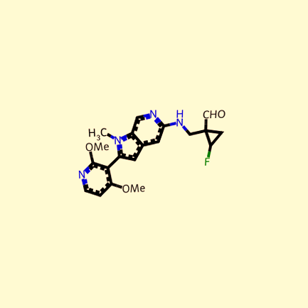 COc1ccnc(OC)c1-c1cc2cc(NCC3(C=O)CC3F)ncc2n1C